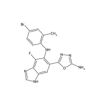 Cc1cc(Br)ccc1Nc1c(-c2nnc(N)o2)cc2[nH]cnc2c1F